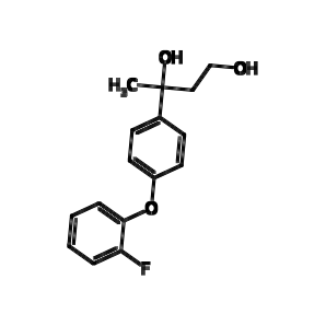 CC(O)(CCO)c1ccc(Oc2ccccc2F)cc1